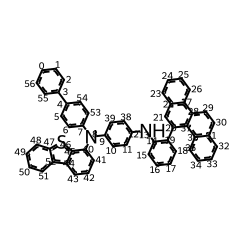 c1ccc(-c2ccc(N(c3ccc(Nc4ccccc4-c4cc5ccccc5c5ccc6ccccc6c45)cc3)c3cccc4c3sc3ccccc34)cc2)cc1